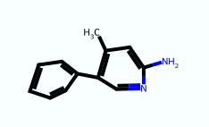 Cc1cc(N)ncc1-c1ccccc1